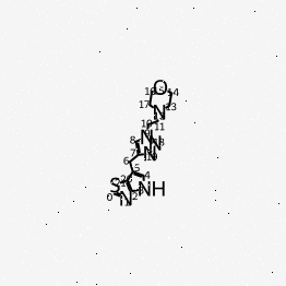 c1nc2[nH]cc(Cc3cn(CCN4CCOCC4)nn3)c2s1